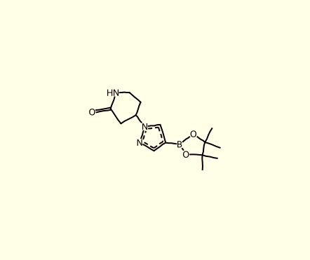 CC1(C)OB(c2cnn(C3CCNC(=O)C3)c2)OC1(C)C